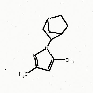 Cc1cc(C)n(C2CC3CCC2C3)n1